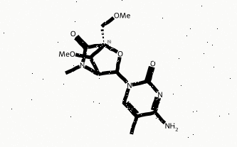 COC[C@]12OC(n3cc(C)c(N)nc3=O)C(C1OC)N(C)C2=O